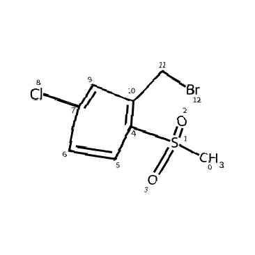 CS(=O)(=O)c1ccc(Cl)cc1CBr